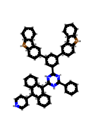 c1ccc(-c2nc(-c3cc(-c4ccc5sc6ccccc6c5c4)cc(-c4ccc5sc6ccccc6c5c4)c3)nc(-c3c4ccccc4c(-c4ccncc4)c4ccccc34)n2)cc1